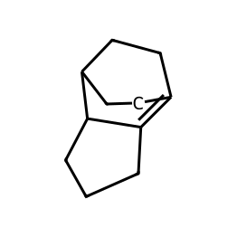 C1CC2=C3CCC(CC3)C2C1